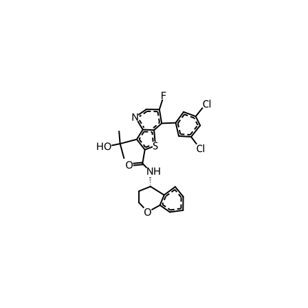 CC(C)(O)c1c(C(=O)N[C@H]2CCOc3ccccc32)sc2c(-c3cc(Cl)cc(Cl)c3)c(F)cnc12